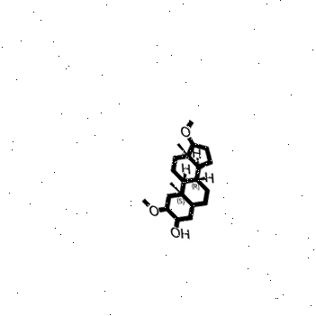 COC1C[C@@]2(C)C(CC[C@@H]3[C@H]2CC[C@]2(C)C(OC)CC[C@@H]32)CC1O